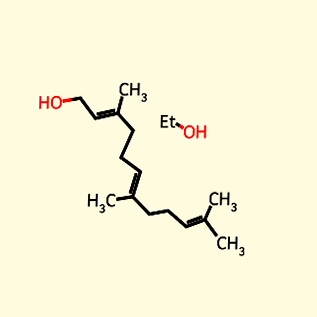 CC(C)=CCCC(C)=CCCC(C)=CCO.CCO